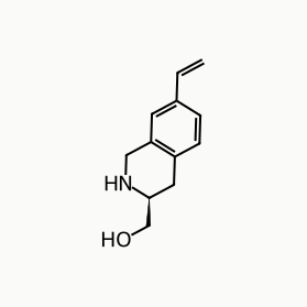 C=Cc1ccc2c(c1)CN[C@H](CO)C2